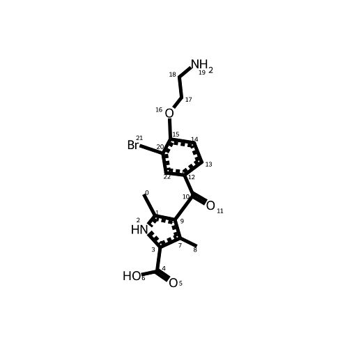 Cc1[nH]c(C(=O)O)c(C)c1C(=O)c1ccc(OCCN)c(Br)c1